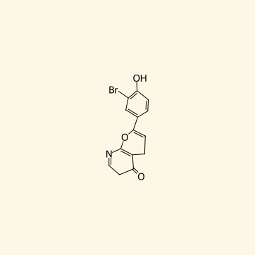 O=C1CC=NC2=C1CC=C(c1ccc(O)c(Br)c1)O2